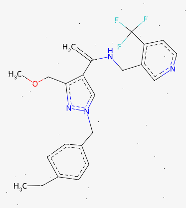 C=C(NCc1cnccc1C(F)(F)F)c1cn(Cc2ccc(CC)cc2)nc1COC